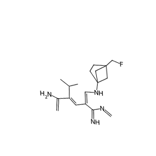 C=NC(=N)C(=C\NC12CCC(CF)(C1)C2)/C=C(/C(=C)N)C(C)C